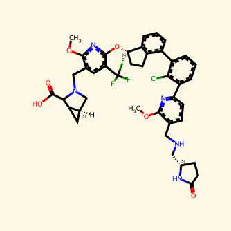 COc1nc(-c2cccc(-c3cccc4c3CC[C@@H]4Oc3nc(OC)c(CN4C[C@H]5CC5C4C(=O)O)cc3C(F)(F)F)c2Cl)ccc1CNC[C@@H]1CCC(=O)N1